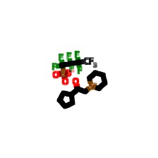 O=C(C[S+]1CCCCC1)C1CCCC1.O=S(=O)([O-])C(F)(F)C(F)(F)C(F)(F)C(F)(F)F